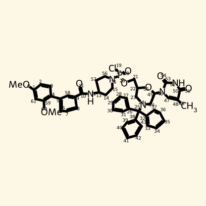 COc1ccc(-c2cccc(C(=O)NC3CCN(P(=O)(Cl)OCC4CN(C(c5ccccc5)(c5ccccc5)c5ccccc5)CC(n5cc(C)c(=O)[nH]c5=O)O4)CC3)c2)c(OC)c1